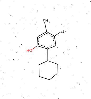 CCc1cc(C2CCCCC2)c(O)cc1C